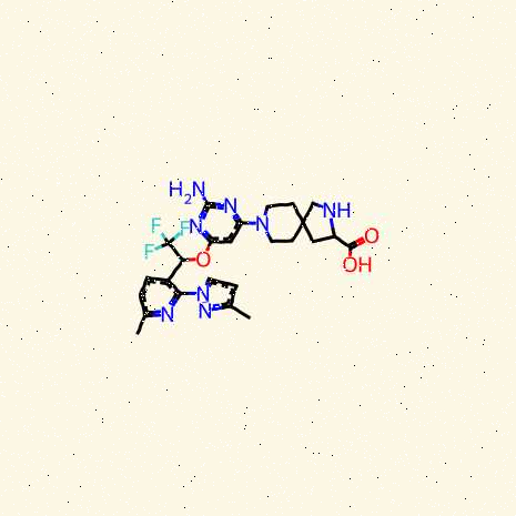 Cc1ccc(C(Oc2cc(N3CCC4(CC3)CNC(C(=O)O)C4)nc(N)n2)C(F)(F)F)c(-n2ccc(C)n2)n1